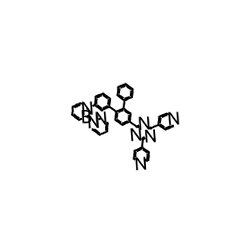 C1=CB2N(C=C1)c1cccc(-c3ccc(-c4nc(-c5ccncc5)nc(-c5ccncc5)n4)cc3-c3ccccc3)c1N1C=CC=CN21